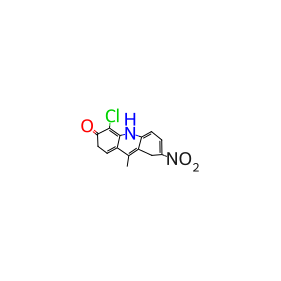 CC1=C2CC([N+](=O)[O-])=CC=C2NC2=C(Cl)C(=O)CC=C12